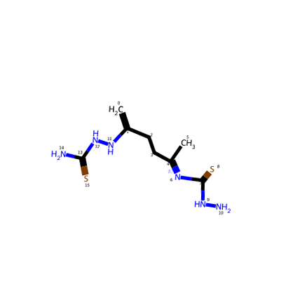 C=C(CC/C(C)=N/C(=S)NN)NNC(N)=S